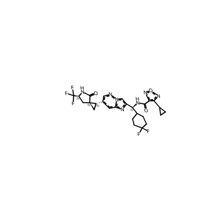 O=C(N[C@H](c1cn2ncc([C@@H]3C[C@]34C[C@@H](C(F)(F)F)NC4=O)cc2n1)C1CCC(F)(F)CC1)c1nonc1C1CC1